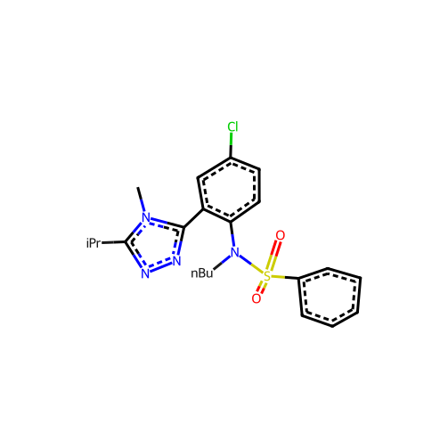 CCCCN(c1ccc(Cl)cc1-c1nnc(C(C)C)n1C)S(=O)(=O)c1ccccc1